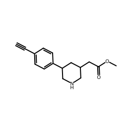 C#Cc1ccc(C2CNCC(CC(=O)OC)C2)cc1